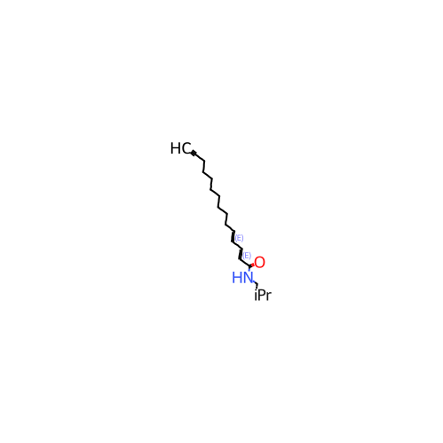 C#CCCCCCCCC/C=C/C=C/C(=O)NCC(C)C